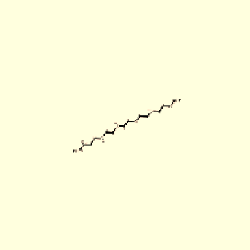 CCCSCCSCCSCCSCCSCCSCCC